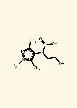 Cc1nn(C)c(C)c1N(CCO)S(=O)O